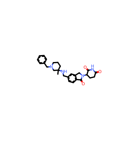 CC1(NCc2ccc3c(c2)CN(C2CCC(=O)NC2=O)C3=O)CCCN(Cc2ccccc2)C1